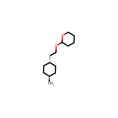 C[C@H]1CC[C@H](CCOC2CCCCO2)CC1